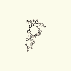 CO[C@@H](C)c1ncc(N2CCN(C3CC3)CC2)cc1-c1c2c3cc(ccc3n1CC(F)(F)F)-c1cccc(c1)C[C@H](NC(=O)[C@H](C1CCCC1)N1CCOC3(CN(C(=O)[C@@H]4N[C@@H]4C4CC4)C3)C1)C(=O)N1CCC[C@H](N1)C(=O)OCC(C)(C)C2